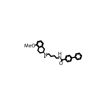 COc1cccc2c1CC[C@@H](N(C)CCCCNC(=O)c1ccc(-c3ccccc3)cc1)C2